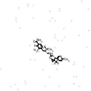 Cc1ccc([C@@H](CC(=O)NC[C@H](Cc2ccc(C(N)=O)c(F)c2C)N(C)C)C2(C(F)(F)F)CC2)cn1